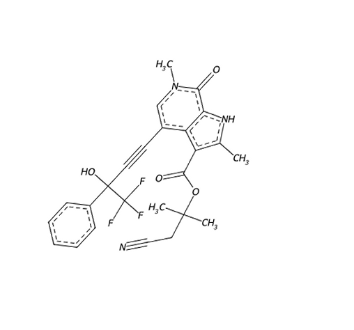 Cc1[nH]c2c(=O)n(C)cc(C#CC(O)(c3ccccc3)C(F)(F)F)c2c1C(=O)OC(C)(C)CC#N